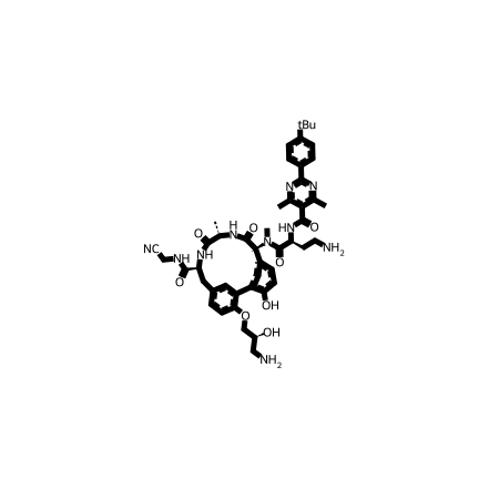 Cc1nc(-c2ccc(C(C)(C)C)cc2)nc(C)c1C(=O)N[C@@H](CCN)C(=O)N(C)[C@@H]1C(=O)N[C@@H](C)C(=O)N[C@H](C(=O)NCC#N)Cc2ccc(OC[C@H](O)CN)c(c2)-c2cc1ccc2O